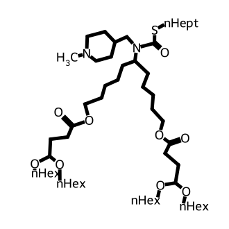 CCCCCCCSC(=O)N(CC1CCN(C)CC1)C(CCCCCOC(=O)CCC(OCCCCCC)OCCCCCC)CCCCCOC(=O)CCC(OCCCCCC)OCCCCCC